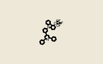 O=S(=O)(Oc1cccc2c1c1ccccc1n2-c1cccc(-c2cc(-c3ccccc3)nc(-c3ccccc3)c2)c1)C(F)(F)F